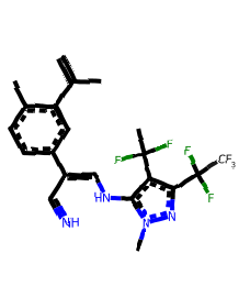 C=C(C)c1cc(/C(C=N)=C/Nc2c(C(C)(F)F)c(C(F)(F)C(F)(F)F)nn2C)ccc1C